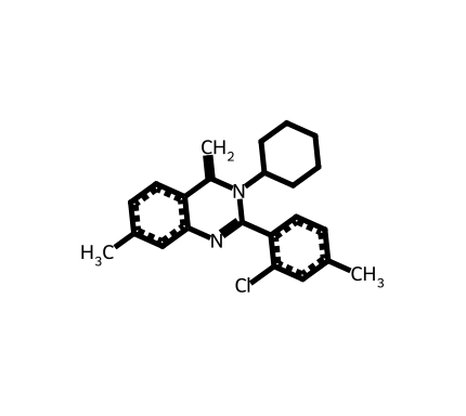 C=C1c2ccc(C)cc2N=C(c2ccc(C)cc2Cl)N1C1CCCCC1